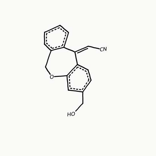 N#C/C=C1/c2ccccc2COc2cc(CO)ccc21